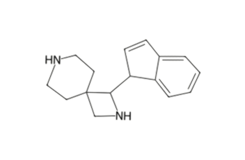 C1=CC(C2NCC23CCNCC3)c2ccccc21